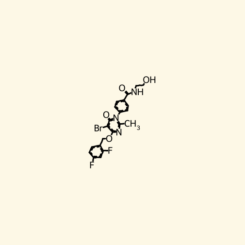 Cc1nc(OCc2ccc(F)cc2F)c(Br)c(=O)n1-c1ccc(C(=O)NCCO)cc1